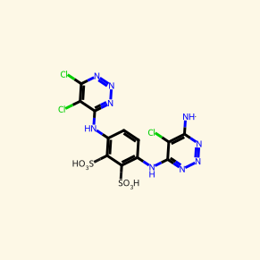 [NH]c1nnnc(Nc2ccc(Nc3nnnc(Cl)c3Cl)c(S(=O)(=O)O)c2S(=O)(=O)O)c1Cl